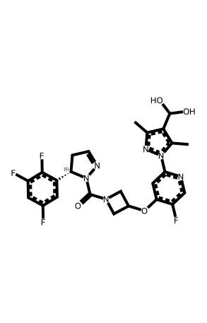 Cc1nn(-c2cc(OC3CN(C(=O)N4N=CC[C@H]4c4cc(F)cc(F)c4F)C3)c(F)cn2)c(C)c1C(O)O